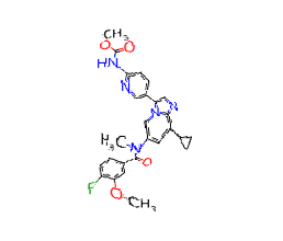 COC(=O)Nc1ccc(-c2cnc3c(C4CC4)cc(N(C)C(=O)c4ccc(F)c(OC)c4)cn23)cn1